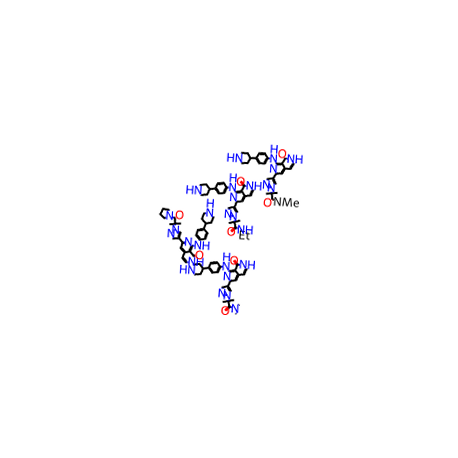 CC(C)(C(=O)N1CCCC1)n1cc(-c2cc3cc[nH]c(=O)c3c(Nc3ccc(C4CCNCC4)cc3)n2)cn1.CCNC(=O)C(C)(C)n1cc(-c2cc3cc[nH]c(=O)c3c(Nc3ccc(C4CCNCC4)cc3)n2)cn1.CN(C)C(=O)C(C)(C)n1cc(-c2cc3cc[nH]c(=O)c3c(Nc3ccc(C4CCNCC4)cc3)n2)cn1.CNC(=O)C(C)(C)n1cc(-c2cc3cc[nH]c(=O)c3c(Nc3ccc(C4CCNCC4)cc3)n2)cn1